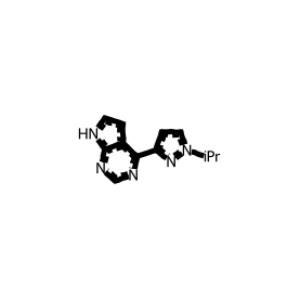 [CH2]C(C)n1ccc(-c2ncnc3[nH]ccc23)n1